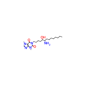 CCCCCCCCC(N)C(O)CCCCn1c(=O)c2c(ncn2C)n(C)c1=O